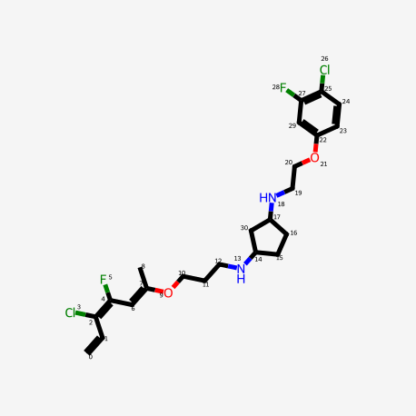 C=C/C(Cl)=C(F)\C=C(/C)OCCCNC1CCC(NCCOc2ccc(Cl)c(F)c2)C1